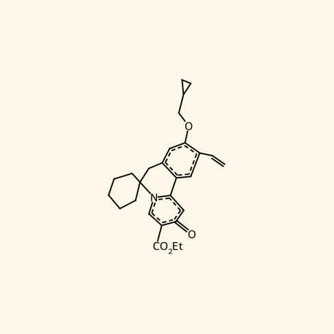 C=Cc1cc2c(cc1OCC1CC1)CC1(CCCCC1)n1cc(C(=O)OCC)c(=O)cc1-2